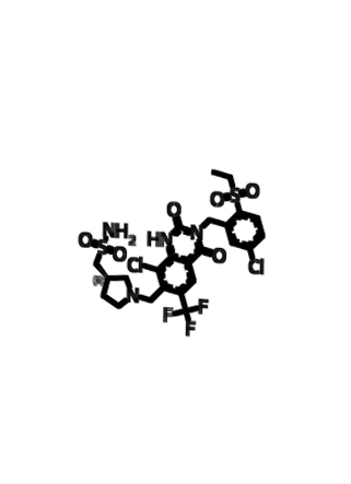 CCS(=O)(=O)c1ccc(Cl)cc1Cn1c(=O)[nH]c2c(Cl)c(CN3CC[C@@H](CS(N)(=O)=O)C3)c(C(F)(F)F)cc2c1=O